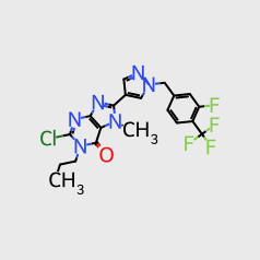 CCCn1c(Cl)nc2nc(-c3cnn(Cc4ccc(C(F)(F)F)c(F)c4)c3)n(C)c2c1=O